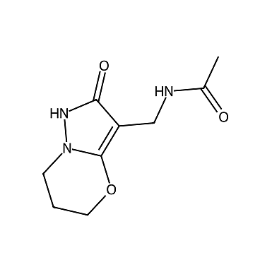 CC(=O)NCc1c2n([nH]c1=O)CCCO2